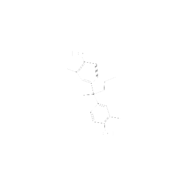 CCCC(C)(c1ccc(O)c(C)c1)c1ccc(O)c(C)c1